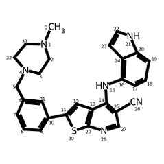 CN1CCN(Cc2cccc(-c3cc4c(Nc5cccc6[nH]ccc56)c(C#N)cnc4s3)c2)CC1